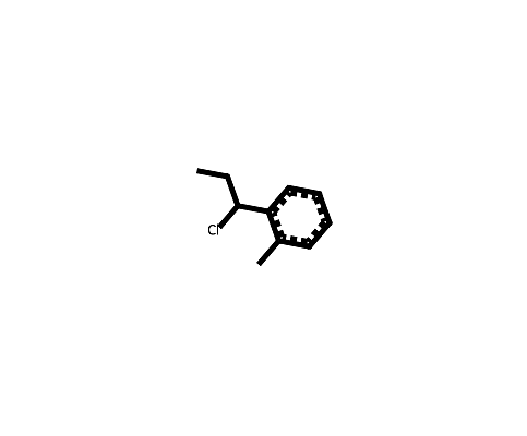 CCC(Cl)c1ccccc1C